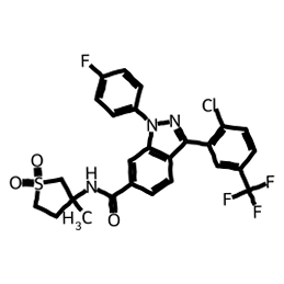 CC1(NC(=O)c2ccc3c(-c4cc(C(F)(F)F)ccc4Cl)nn(-c4ccc(F)cc4)c3c2)CCS(=O)(=O)C1